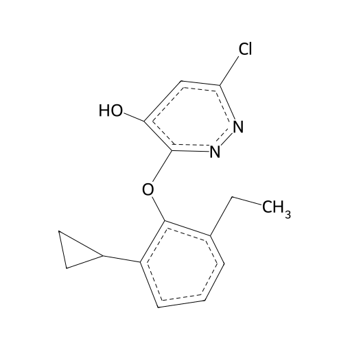 CCc1cccc(C2CC2)c1Oc1nnc(Cl)cc1O